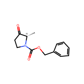 C[C@H]1C(=O)CCN1C(=O)OCc1ccccc1